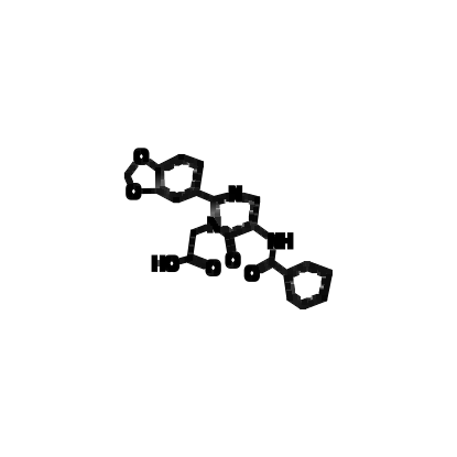 O=C(O)Cn1c(-c2ccc3c(c2)OCO3)ncc(NC(=O)c2ccccc2)c1=O